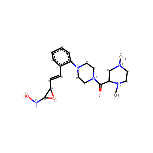 CN1CCN(C)C(C(=O)N2CCN(c3ccccc3/C=C/C3OC3NO)CC2)C1